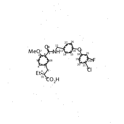 CC[C@@H](Cc1ccc(OC)c(C(=O)NCc2ccc(Oc3ccc(Cl)c(F)c3)cc2)c1)C(=O)O